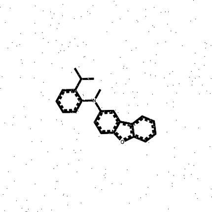 CC(C)c1ccccc1N(C)c1ccc2oc3ccccc3c2c1